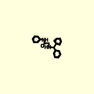 O=C(CNC(c1ccccc1)c1ccccc1)Nc1ccccc1